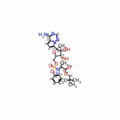 C[C@H](NP(=O)(OCC1O[C@@](C)(c2ccc3c(N)ncnn23)[C@H](O)C1O)Oc1ccccc1)C(=O)OCC(C)(C)C